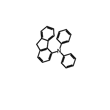 c1ccc(N(c2ccccc2)c2cccc3c2-c2ccccc2C3)cc1